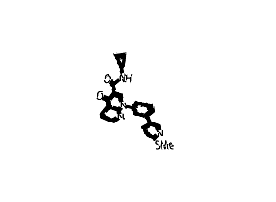 CSc1ccc(-c2cccc(-n3cc(C(=O)NC4CC4)c(=O)c4cccnc43)c2)cn1